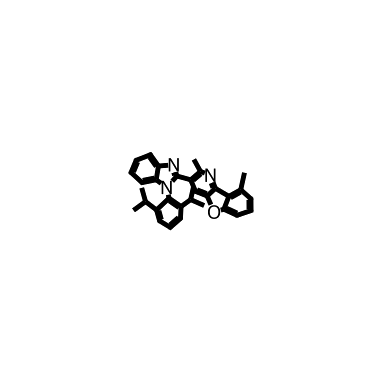 Cc1nc2c(cc1-c1nc3ccccc3n1-c1c(C(C)C)cccc1C(C)C)oc1cccc(C)c12